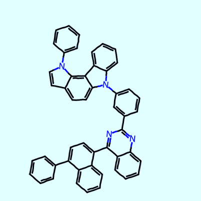 c1ccc(-c2ccc(-c3nc(-c4cccc(-n5c6ccccc6c6c7c(ccc65)ccn7-c5ccccc5)c4)nc4ccccc34)c3ccccc23)cc1